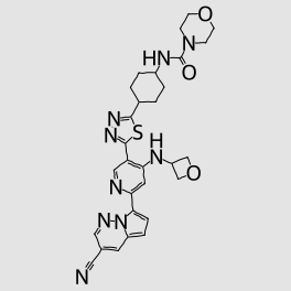 N#Cc1cnn2c(-c3cc(NC4COC4)c(-c4nnc(C5CCC(NC(=O)N6CCOCC6)CC5)s4)cn3)ccc2c1